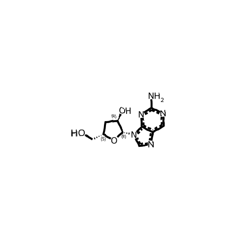 Nc1ncc2ncn([C@@H]3O[C@H](CO)C[C@H]3O)c2n1